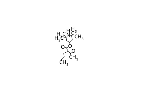 CCCCC(C(C)=O)C(=O)OC1CC(C)(C)NC(C)(C)C1